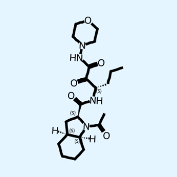 CCC[C@H](NC(=O)[C@@H]1C[C@@H]2CCCC[C@@H]2N1C(C)=O)C(=O)C(=O)NN1CCOCC1